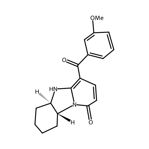 COc1cccc(C(=O)c2ccc(=O)n3c2N[C@@H]2CCCC[C@H]23)c1